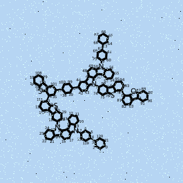 c1ccc(-c2ccc(-n3c4ccccc4c4c3ccc3c5ccccc5n(-c5ccc6sc7c(-c8cc(-c9ccc(-c%10ccc%11c(c%10)c%10ccc%12c(c%13ccccc%13n%12-c%12ccc(-c%13ccccc%13)cc%12)c%10n%11-c%10ccc%11sc%12c(-c%13cccc%14c%13oc%13ccccc%13%14)cccc%12c%11c%10)cc9)cc9c8sc8ccccc89)cccc7c6c5)c34)cc2)cc1